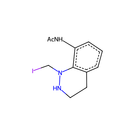 CC(=O)Nc1cccc2c1N(CI)NCC2